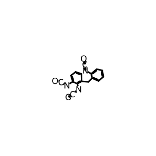 O=C=Nc1ccccc1Cc1cccc(N=C=O)c1N=C=O